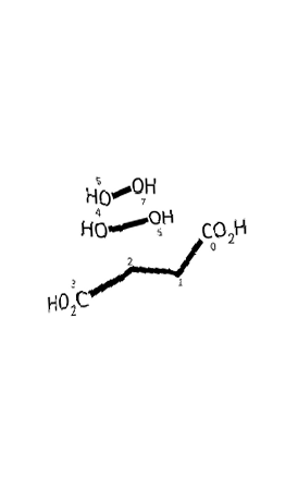 O=C(O)CCC(=O)O.OO.OO